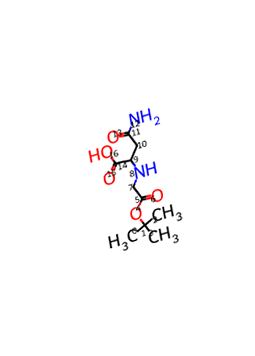 CC(C)(C)OC(=O)CNC(CC(N)=O)C(=O)O